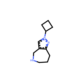 c1c2c(nn1C1CCC1)CCCNC2